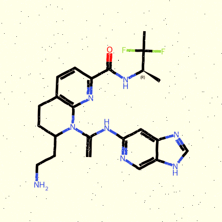 C=C(Nc1cc2nc[nH]c2cn1)N1c2nc(C(=O)N[C@H](C)C(C)(F)F)ccc2CCC1CCN